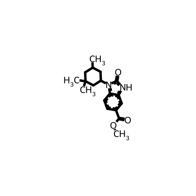 COC(=O)c1ccc2c(c1)[nH]c(=O)n2C1CC(C)CC(C)(C)C1